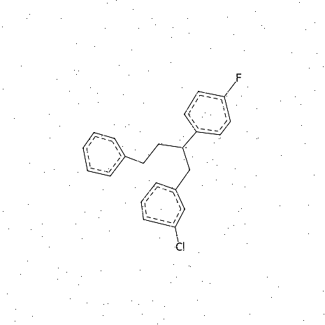 Fc1ccc([C](CCc2ccccc2)Cc2cccc(Cl)c2)cc1